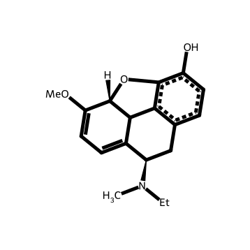 CCN(C)[C@@H]1Cc2ccc(O)c3c2C2C1=CC=C(OC)[C@@H]2O3